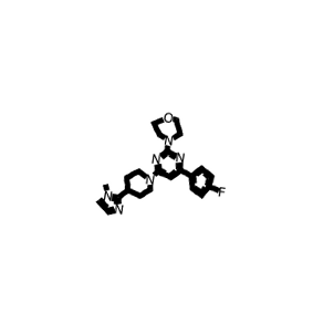 Cn1ccnc1C1CCN(c2cc(-c3ccc(F)cc3)nc(N3CCOCC3)n2)CC1